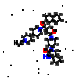 CN1CCC(C2CCN(C(=O)C(CC(=O)N3CCC(N4Cc5ccccc5NC4=O)CC3)CC3CCCc4ccccc43)CC2)CC1